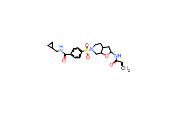 C=CC(=O)NC1CC2CCN(S(=O)(=O)c3ccc(C(=O)NCC4CC4)cc3)CC2O1